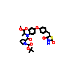 COC(=O)C(C)N(C(=O)C1CCCN1C(=O)OC(C)(C)C)c1ccc(Oc2ccc(CC3SC(=O)NC3=O)cc2)cc1